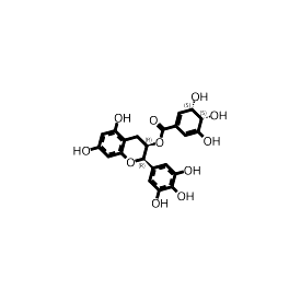 O=C(O[C@@H]1Cc2c(O)cc(O)cc2O[C@@H]1c1cc(O)c(O)c(O)c1)C1=C[C@H](O)[C@H](O)C(O)=C1